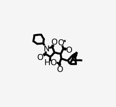 COC(=O)C(C1C(=O)N(C2CCCCC2)C(=O)C1C)C(C(=O)O)C1C2CC3C(C2C)C31